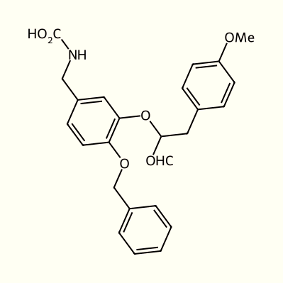 COc1ccc(CC(C=O)Oc2cc(CNC(=O)O)ccc2OCc2ccccc2)cc1